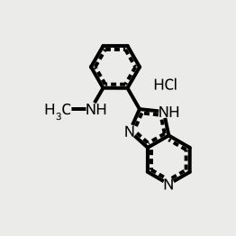 CNc1ccccc1-c1nc2cnccc2[nH]1.Cl